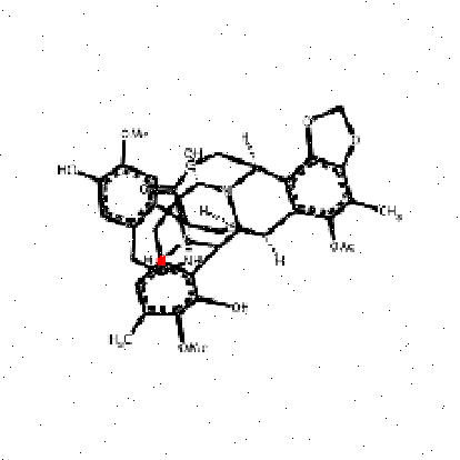 COc1cc2c(cc1O)CCN[C@]21CS[C@@H]2c3c(OC(C)=O)c(C)c4c(c3[C@H](COC1=O)N1[C@@H]2C2c3c(cc(C)c(OC)c3O)CC([C@@H]1O)N2C)OCO4